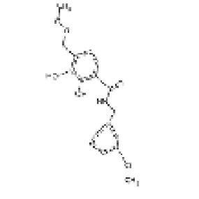 COOCc1ccc(C(=O)NCc2cccc(OC)c2)c(O)c1O